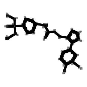 CCOP(=O)(OCC)c1ccc(NC(=O)CCc2cnoc2-c2ccc(Cl)c(F)c2)cc1